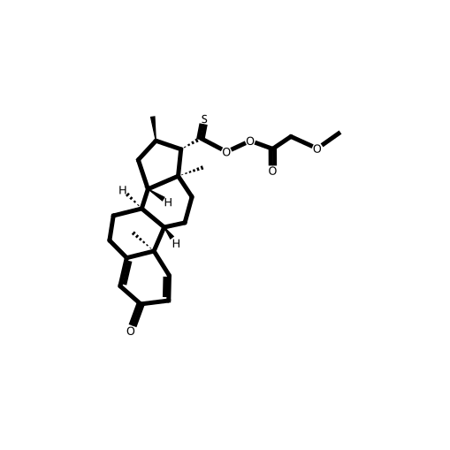 COCC(=O)OOC(=S)[C@H]1[C@H](C)C[C@H]2[C@@H]3CCC4=CC(=O)C=C[C@]4(C)[C@H]3CC[C@@]21C